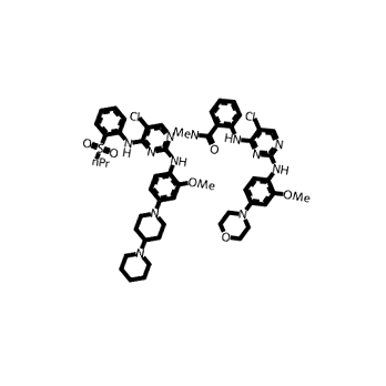 CCCS(=O)(=O)c1ccccc1Nc1nc(Nc2ccc(N3CCC(N4CCCCC4)CC3)cc2OC)ncc1Cl.CNC(=O)c1ccccc1Nc1nc(Nc2ccc(N3CCOCC3)cc2OC)ncc1Cl